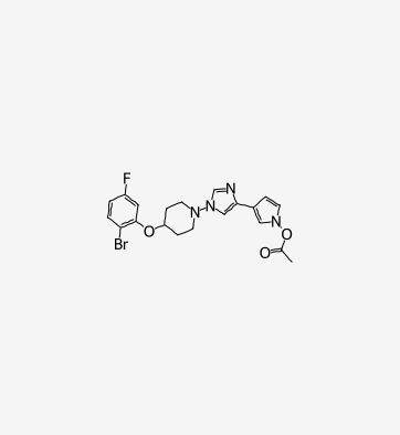 CC(=O)On1ccc(-c2cn(N3CCC(Oc4cc(F)ccc4Br)CC3)cn2)c1